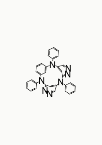 c1ccc(N2c3cccc(c3)N(c3ccccc3)c3cc(cnn3)N(c3ccccc3)c3cc2cnn3)cc1